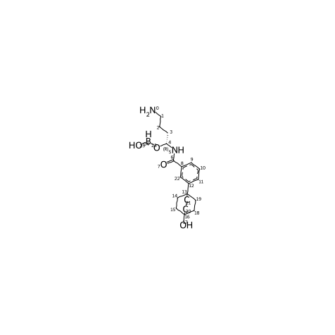 NCCC[C@H](NC(=O)c1cccc(C23CCC(O)(CC2)CC3)c1)OBO